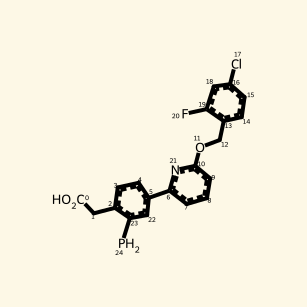 O=C(O)Cc1ccc(-c2cccc(OCc3ccc(Cl)cc3F)n2)cc1P